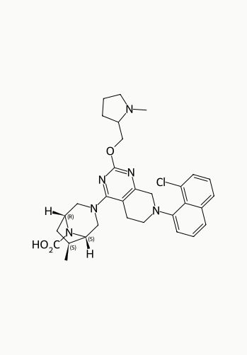 C[C@H]1C[C@@H]2CN(c3nc(OCC4CCCN4C)nc4c3CCN(c3cccc5cccc(Cl)c35)C4)C[C@H]1N2C(=O)O